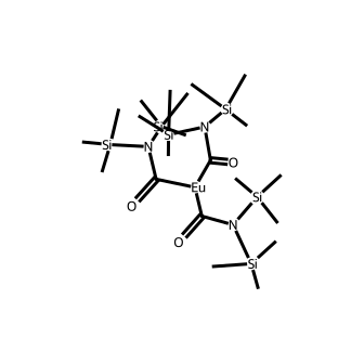 C[Si](C)(C)N([C](=O)[Eu]([C](=O)N([Si](C)(C)C)[Si](C)(C)C)[C](=O)N([Si](C)(C)C)[Si](C)(C)C)[Si](C)(C)C